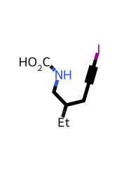 CCC(CC#CI)CNC(=O)O